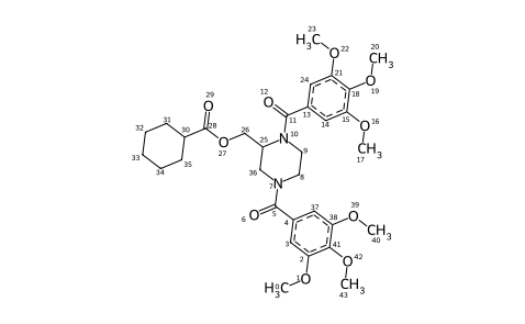 COc1cc(C(=O)N2CCN(C(=O)c3cc(OC)c(OC)c(OC)c3)C(COC(=O)C3CCCCC3)C2)cc(OC)c1OC